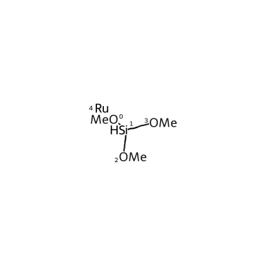 CO[SiH](OC)OC.[Ru]